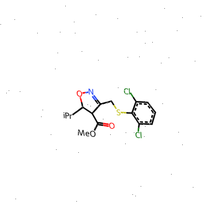 COC(=O)C1C(CSc2c(Cl)cccc2Cl)=NOC1C(C)C